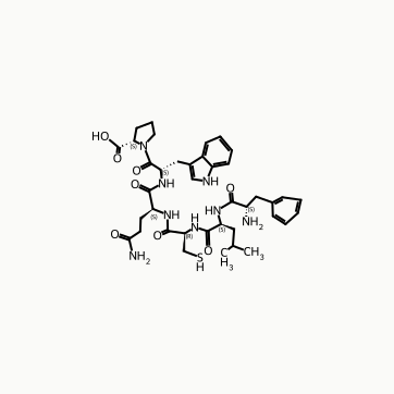 CC(C)C[C@H](NC(=O)[C@@H](N)Cc1ccccc1)C(=O)N[C@@H](CS)C(=O)N[C@@H](CCC(N)=O)C(=O)N[C@@H](Cc1c[nH]c2ccccc12)C(=O)N1CCC[C@H]1C(=O)O